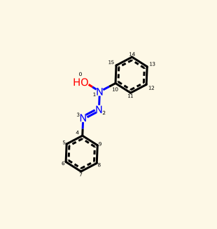 ON(N=Nc1ccccc1)c1ccccc1